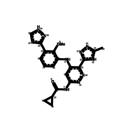 COc1c(Nc2cc(NC(=O)C3CC3)nnc2-c2nnc(C)[nH]2)cccc1-c1nc[nH]n1